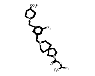 O=C(O)C1CCN(Cc2cc(CN3CCC4(CC3)CCN(C(=O)OC(C(F)(F)F)C(F)(F)F)C4)cc(C(F)(F)F)c2)CC1